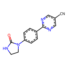 N#Cc1cnc(-c2ccc(N3CCNC3=O)cc2)nc1